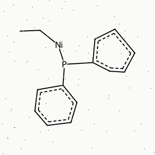 C[CH2][Ni][P](c1ccccc1)c1ccccc1